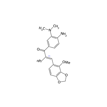 CCC/C(=C\c1ccc2c(c1OC)OCO2)C(=O)c1ccc(N)c(N(C)C)c1